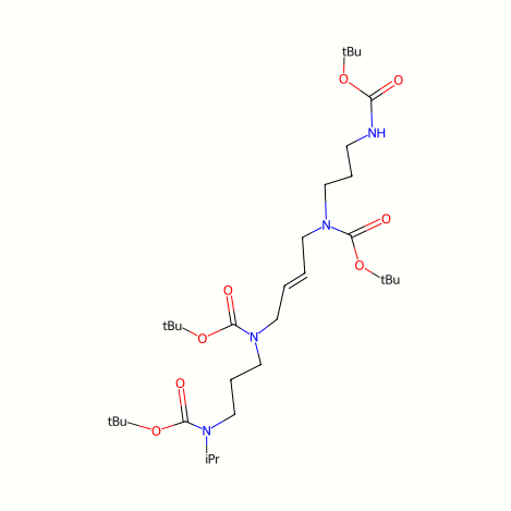 CC(C)N(CCCN(CC=CCN(CCCNC(=O)OC(C)(C)C)C(=O)OC(C)(C)C)C(=O)OC(C)(C)C)C(=O)OC(C)(C)C